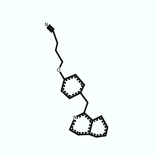 N#CCCCOc1ccc(Cc2nccc3ccccc23)cc1